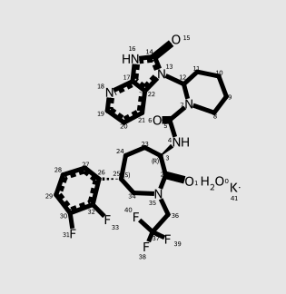 O.O=C1[C@H](NC(=O)N2CCCCC2n2c(=O)[nH]c3ncccc32)CC[C@@H](c2cccc(F)c2F)CN1CC(F)(F)F.[K]